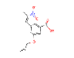 C=CCOc1cc(C=C(C)[N+](=O)[O-])cc(C(=O)O)c1